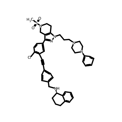 CS(=O)(=O)N1CCc2c(c(-c3ccc(Cl)c(C#Cc4ccc(CN[C@@H]5CCCc6ccccc65)cc4)c3)nn2CCCN2CCN(c3ccccc3)CC2)C1